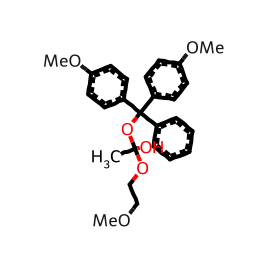 COCCOC(C)(O)OC(c1ccccc1)(c1ccc(OC)cc1)c1ccc(OC)cc1